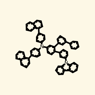 c1ccc(-c2cccc(-c3cc(N(c4ccc(-c5cccc6ccccc56)cc4)c4ccc(-c5cccc6ccccc56)cc4)ccc3-c3cccc(-n4c5ccccc5c5ccccc54)c3)c2)cc1